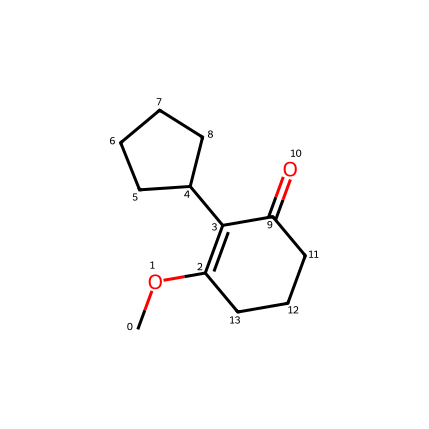 COC1=C(C2CCCC2)C(=O)CCC1